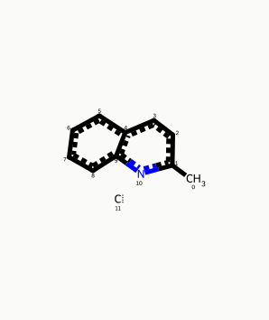 Cc1ccc2ccccc2n1.[C]